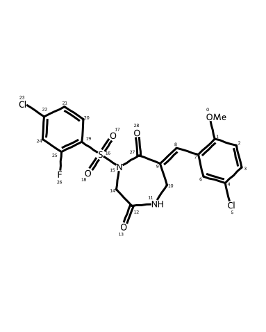 COc1ccc(Cl)cc1C=C1CNC(=O)CN(S(=O)(=O)c2ccc(Cl)cc2F)C1=O